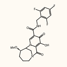 CO[C@@H]1CCCN2CC1n1cc(C(=O)NCc3c(F)cc(F)cc3F)c(=O)c(O)c1C2=O